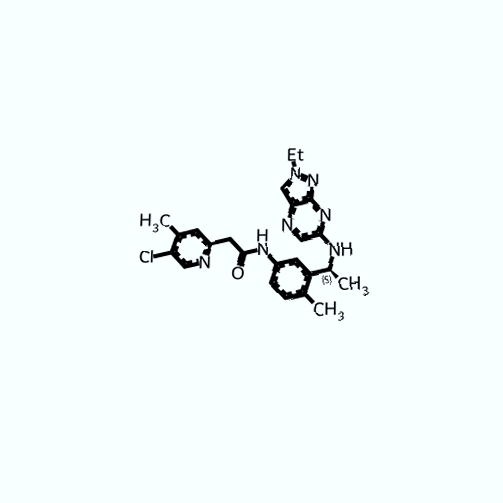 CCn1cc2ncc(N[C@@H](C)c3cc(NC(=O)Cc4cc(C)c(Cl)cn4)ccc3C)nc2n1